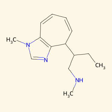 CCC(CNC)C1C=CC=Cc2c1ncn2C